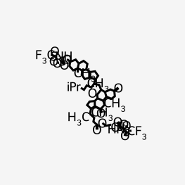 CC(C)CCCC(CC1C(=O)C2C(CC(=O)C3(C)C(C(C)CCC(=O)OCCOS(=O)(=O)NS(=O)(=O)C(F)(F)F)CCC23)C2(C)CCC(=O)CC12)C1CCC2C3CCC4CC(OS(=O)(=O)NS(=O)(=O)C(F)(F)F)CCC4(C)C3CCC12C